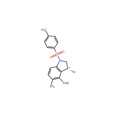 CC[C@H]1CN(S(=O)(=O)c2ccc(C)cc2)c2ccc(C)c(C=O)c21